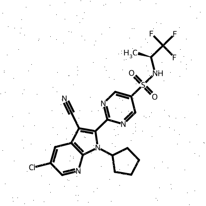 C[C@H](NS(=O)(=O)c1cnc(-c2c(C#N)c3cc(Cl)cnc3n2C2CCCC2)nc1)C(F)(F)F